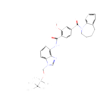 COc1cc(C(=O)N2CCCCc3ccccc32)ccc1C(=O)Nc1cccc2c1ncn2CO[Si](C)(C)C(C)(C)C